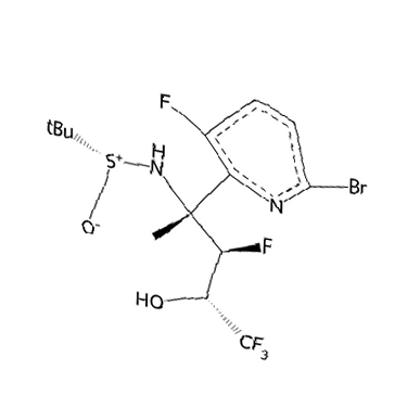 CC(C)(C)[S@@+]([O-])N[C@](C)(c1nc(Br)ccc1F)[C@@H](F)[C@@H](O)C(F)(F)F